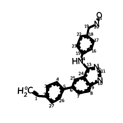 C=Cc1ccc(-c2ccc3ncnc(Nc4ccc(CN=O)cc4)c3c2)cc1